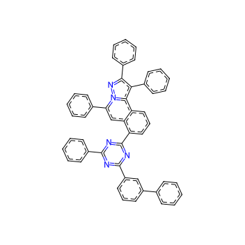 c1ccc(-c2cccc(-c3nc(-c4ccccc4)nc(-c4cccc5c4cc(-c4ccccc4)n4nc(-c6ccccc6)c(-c6ccccc6)c54)n3)c2)cc1